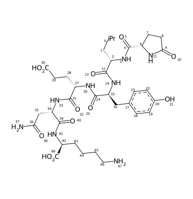 CC(C)C[C@H](NC(=O)[C@@H]1CCC(=O)N1)C(=O)N[C@@H](Cc1ccc(O)cc1)C(=O)N[C@@H](CCC(=O)O)C(=O)N[C@@H](CC(N)=O)C(=O)N[C@@H](CCCCN)C(=O)O